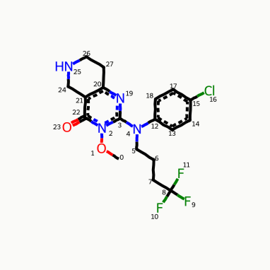 COn1c(N(CCCC(F)(F)F)c2ccc(Cl)cc2)nc2c(c1=O)CNCC2